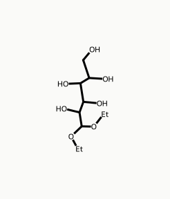 CCOC(OCC)C(O)C(O)C(O)C(O)CO